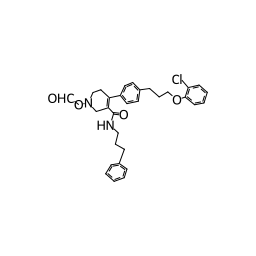 O=CON1CCC(c2ccc(CCCOc3ccccc3Cl)cc2)=C(C(=O)NCCCc2ccccc2)C1